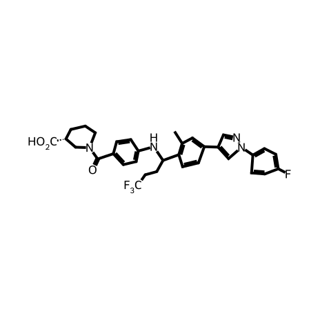 Cc1cc(-c2cnn(-c3ccc(F)cc3)c2)ccc1C(CCC(F)(F)F)Nc1ccc(C(=O)N2CCC[C@@H](C(=O)O)C2)cc1